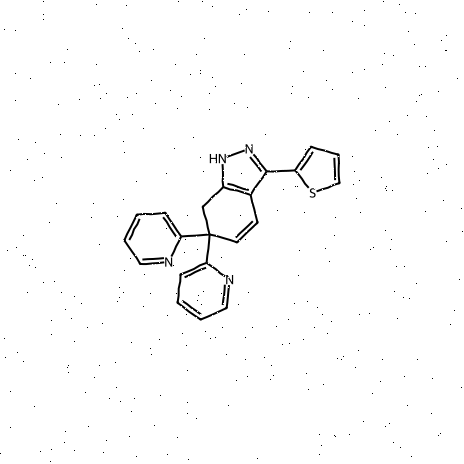 C1=CC(c2ccccn2)(c2ccccn2)Cc2[nH]nc(-c3cccs3)c21